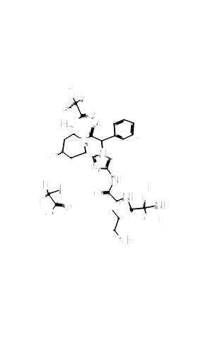 CCCC[C@@H](NC(=O)C(C)(C)N)C(=O)Nc1cn(C(C(=O)N2CCC(C)CC2)c2ccccc2)cn1.O=C(O)C(F)(F)F.O=C(O)C(F)(F)F